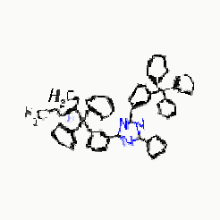 C=C/C=C(\C=C)C(c1ccccc1)(c1ccccc1)c1cccc(-c2nc(-c3ccccc3)nc(-c3cccc(C(C4=CCCC=C4)(c4ccccc4)c4ccccc4)c3)n2)c1